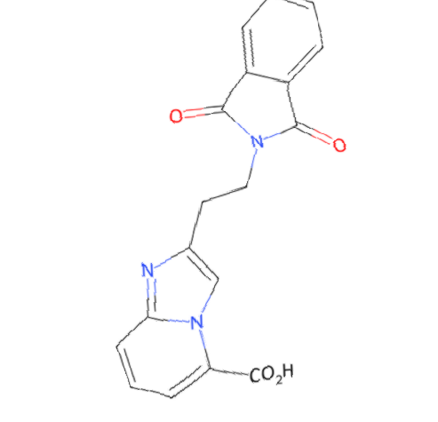 O=C(O)c1cccc2nc(CCN3C(=O)c4ccccc4C3=O)cn12